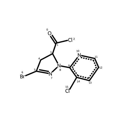 O=C(Cl)C1CC(Br)=NN1c1ncccc1Cl